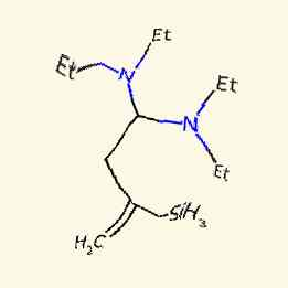 C=C([SiH3])CC(N(CC)CC)N(CC)CC